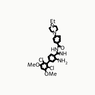 CCN1CCN(c2ccc(C(=O)NC(=N)c3ccc(-c4c(Cl)c(OC)cc(OC)c4Cl)cc3N)cc2)CC1